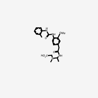 COc1cc(CC(=O)NC(C)N(C)CC(=O)O)ccc1NC(=O)Nc1ccccc1C